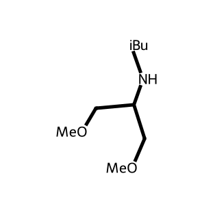 CCC(C)NC(COC)COC